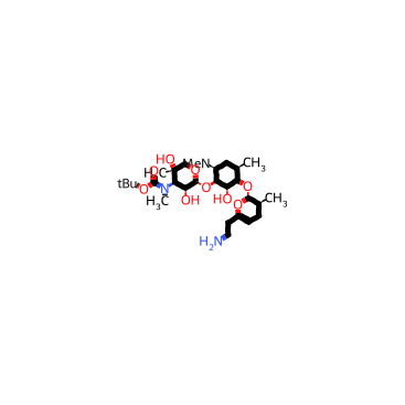 CN[C@@H]1C[C@H](C)C(O[C@H]2OC(CCN)=CC[C@H]2C)[C@H](O)[C@H]1O[C@H]1OC[C@](C)(O)[C@H](N(C)C(=O)OC(C)(C)C)[C@H]1O